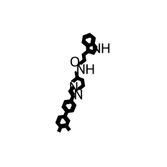 Cc1ccc(-c2ccc(-c3cn4c(n3)CCC(CNC(=O)CCc3c[nH]c5ccccc35)C4)cc2)cc1C